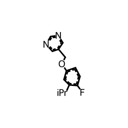 CC(C)c1cc(OCc2cncnc2)ccc1F